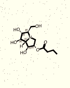 CCCC(=O)O[C@H]1CN2[C@@H]([C@@H](O)[C@H](O)[C@H]2CO)[C@@H]1O